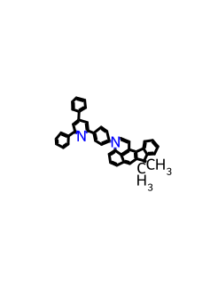 CC1(C)c2ccccc2-c2c1cc1cccc3c1c2C=CN3c1ccc(-c2cc(-c3ccccc3)cc(-c3ccccc3)n2)cc1